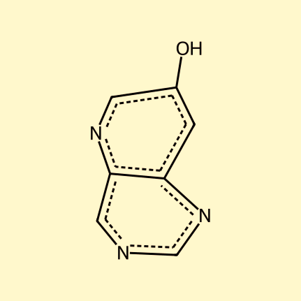 Oc1cnc2cncnc2c1